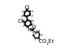 CCOC(=O)C1CCN(c2nc3cc(Cl)c(-c4ccc(Cl)cc4)cc3o2)CC1